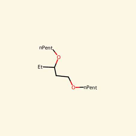 CCCCCOCCC(CC)OCCCCC